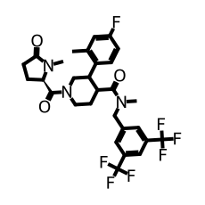 Cc1cc(F)ccc1C1CN(C(=O)[C@H]2CCC(=O)N2C)CCC1C(=O)N(C)Cc1cc(C(F)(F)F)cc(C(F)(F)F)c1